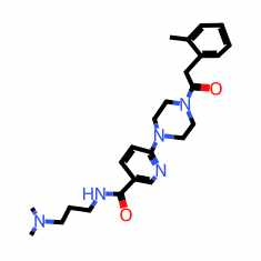 Cc1ccccc1CC(=O)N1CCN(c2ccc(C(=O)NCCCN(C)C)cn2)CC1